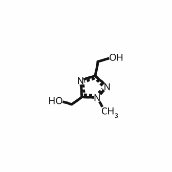 Cn1nc(CO)nc1CO